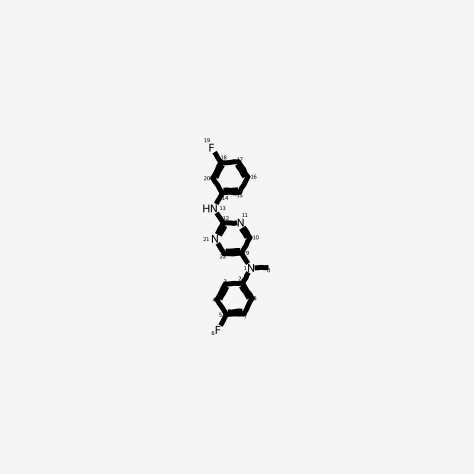 CN(c1ccc(F)cc1)c1cnc(Nc2cccc(F)c2)nc1